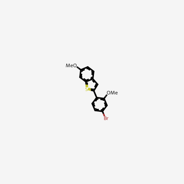 COc1ccc2cc(-c3ccc(Br)cc3OC)sc2c1